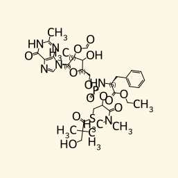 CCOC(=O)[C@H](Cc1ccccc1)NP(=O)(OC[C@H]1O[C@@H](n2cnc3c(=O)[nH]c(C)nc32)[C@@](C)(OC=O)C1O)OC(CSC(=O)C(C)(C)CO)C(=O)N(C)C